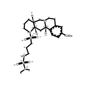 COc1ccc2c(c1)CCN1C[C@H]3CCCN(S(=O)(=O)CCCNS(=O)(=O)N(C)C)[C@H]3C[C@@H]21